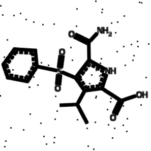 CC(C)c1c(C(=O)O)[nH]c(C(N)=O)c1S(=O)(=O)c1ccccc1